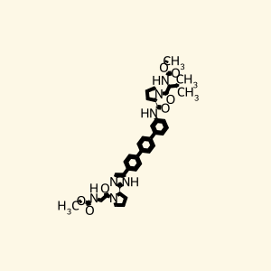 COC(=O)NCC(=O)N1CCC[C@H]1c1ncc(-c2ccc(-c3ccc(-c4cccc(NC(=O)[C@@H]5CCCN5C(=O)[C@@H](NC(=O)OC)C(C)C)c4)cc3)cc2)[nH]1